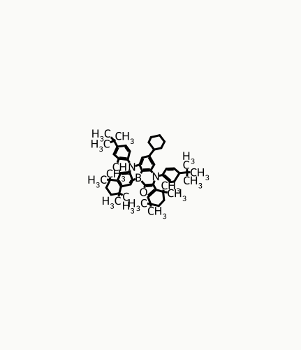 Cc1cc(C(C)(C)C)ccc1N1c2cc3c(cc2B2c4oc5c(c4N(C4=CCC(C(C)(C)C)C=C4)c4cc(C6CCCCC6)cc1c42)C(C)(C)CCC5(C)C)C(C)(C)CCC3(C)C